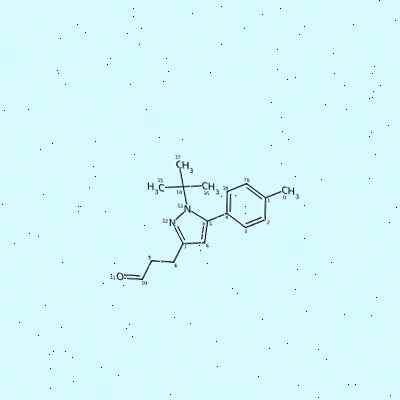 Cc1ccc(-c2cc(CCC=O)nn2C(C)(C)C)cc1